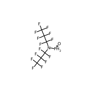 O=[PH2]N(C(F)(F)C(F)(F)C(F)(F)F)C(F)(F)C(F)(F)C(F)(F)F